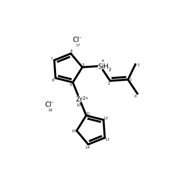 CC(C)=C[SiH2]C1C=CC=[C]1[Zr+2][C]1=CC=CC1.[Cl-].[Cl-]